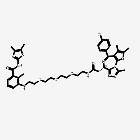 Cc1nc(NC(=O)c2cccc(NCCOCCOCCOCCNC(=O)C[C@@H]3N=C(c4ccc(Cl)cc4)c4c(sc(C)c4C)-n4c(C)nnc43)c2C)sc1C